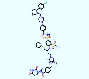 CC1(C)CCC(c2ccc(Cl)cc2)=C(CN2CCN(c3ccc(C(=O)NS(=O)(=O)c4ccc(N[C@H](CCN5C[C@H]6C[C@@H]5CN6Cc5ccc6c(c5)CN(N5CCC(=O)NC5=O)C6=O)CSc5ccccc5)c(S(=O)(=O)C(F)(F)F)c4)cc3)CC2)C1